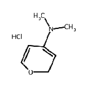 CN(C)C1=CCOC=C1.Cl